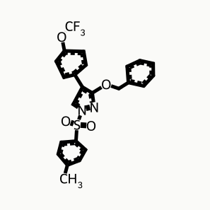 Cc1ccc(S(=O)(=O)n2cc(-c3ccc(OC(F)(F)F)cc3)c(OCc3ccccc3)n2)cc1